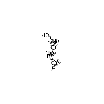 O=S(=O)(NCCO)c1ccc(C2=NN(Cc3ncc(F)cc3F)NN2)cc1